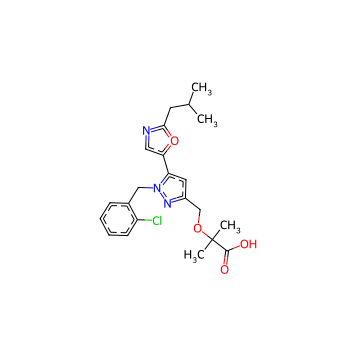 CC(C)Cc1ncc(-c2cc(COC(C)(C)C(=O)O)nn2Cc2ccccc2Cl)o1